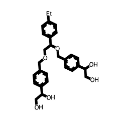 CCc1ccc(C(COCc2ccc(C(O)CO)cc2)OCc2ccc(C(O)CO)cc2)cc1